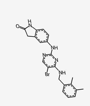 Cc1cccc(CNc2nc(Nc3ccc4c(c3)CC(=O)N4)ncc2Br)c1C